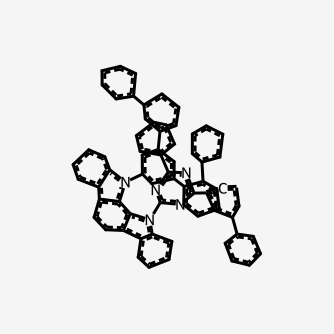 c1ccc(-c2cccc(-c3cc(-c4ccccc4-c4ccccc4)cc(-n4c5ccccc5c5ccc6c7ccccc7n(-c7nc(-c8ccccc8)nc(-c8cccc(-c9ccccc9)c8)n7)c6c54)c3)c2)cc1